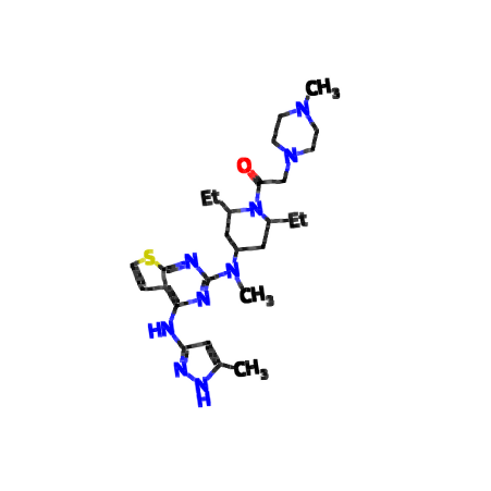 CCC1CC(N(C)c2nc(Nc3cc(C)[nH]n3)c3ccsc3n2)CC(CC)N1C(=O)CN1CCN(C)CC1